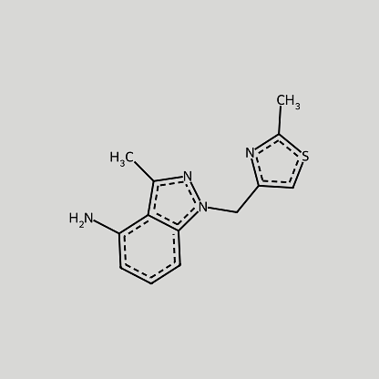 Cc1nc(Cn2nc(C)c3c(N)cccc32)cs1